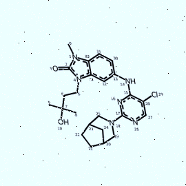 Cn1c(=O)n(CCC(C)(C)O)c2cc(Nc3nc(N4CC5CCC(C5)C4)ncc3Cl)ccc21